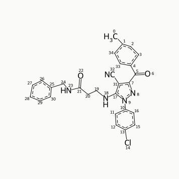 Cc1ccc(C(=O)c2nn(-c3ccc(Cl)cc3)c(NCCC(=O)NCc3ccccc3)c2C#N)cc1